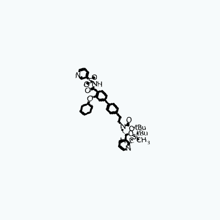 CC(C)(C)OC(=O)N(CCc1ccc(-c2ccc(C(=O)NS(=O)(=O)c3cccnc3)c(OC3CCCCC3)c2)cc1)C[C@H](O[Si](C)(C)C(C)(C)C)c1cccnc1